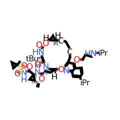 C=C[C@@H]1C[C@]1(NC(=O)[C@@H]1C[C@@H]2CN1C(=O)[C@H](C(C)(C)C)NC(=O)O[C@@H]1C[C@H]1CCCCCc1c(nc3cc(C(C)C)ccc3c1OCCCNC(C)C)O2)C(=O)NS(=O)(=O)C1(C)CC1